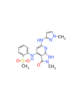 Cn1ccc(Nc2cc(Nc3ccccc3S(C)(=O)=O)c3c(=O)n(C)[nH]c3n2)n1